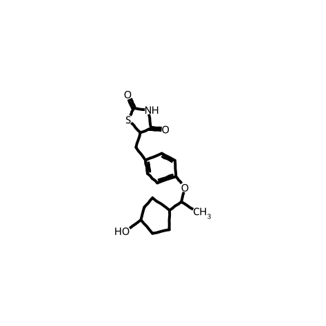 CC(Oc1ccc(CC2SC(=O)NC2=O)cc1)C1CCC(O)CC1